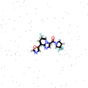 O=C(c1cnc2c(-c3cnco3)cc(F)cn12)N1CCC(F)(F)C1